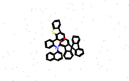 c1ccc(N(c2cccc3c2-c2ccccc2C32c3ccccc3-c3ccccc32)c2cccc3ccccc23)c(-c2cccc3c2sc2ccccc23)c1